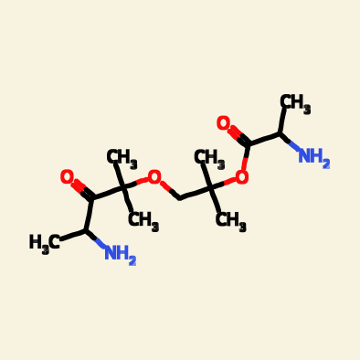 CC(N)C(=O)OC(C)(C)COC(C)(C)C(=O)C(C)N